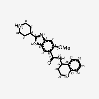 COc1cc2nc(C3CCNCC3)sc2cc1C(=O)NC1CCOc2ccccc21